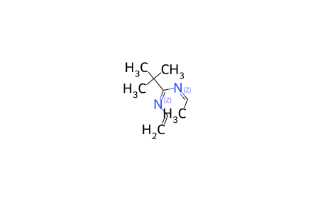 C=C/N=C(\N=C/C)C(C)(C)C